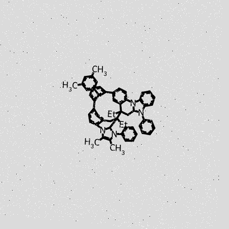 CCC12CC3N(c4ccccc4)c4ccccc4N3c3ccc(cc31)-c1cccc(c1-c1cc(C)cc(C)c1)-c1ccc3c(c1)CC2(CC)C1N(c2ccccc2)C(C)=C(C)N31